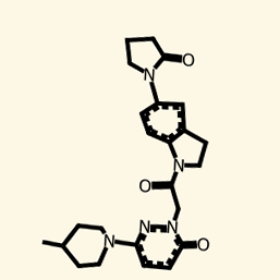 CC1CCN(c2ccc(=O)n(CC(=O)N3CCc4cc(N5CCCC5=O)ccc43)n2)CC1